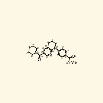 CNC(=O)c1ccc(N2CCCc3cc(C(=O)N4CCCCC4)cnc32)cc1